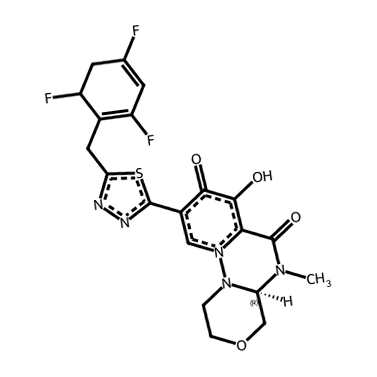 CN1C(=O)c2c(O)c(=O)c(-c3nnc(CC4=C(F)C=C(F)CC4F)s3)cn2N2CCOC[C@H]12